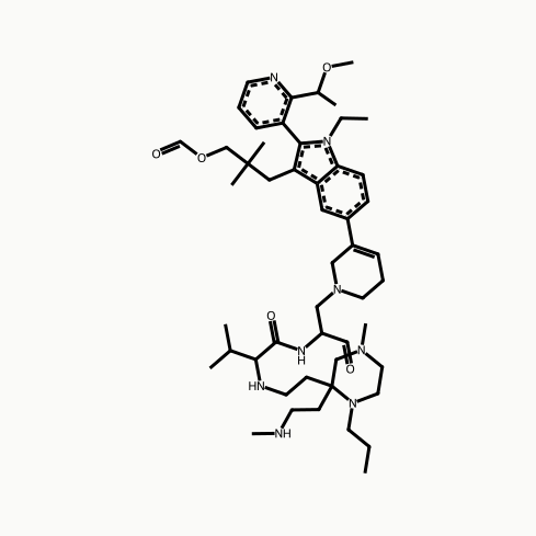 CCCN1CCN(C)CC1(CCNC)CCNC(C(=O)NC(C=O)CN1CCC=C(c2ccc3c(c2)c(CC(C)(C)COC=O)c(-c2cccnc2C(C)OC)n3CC)C1)C(C)C